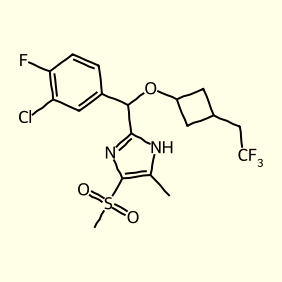 Cc1[nH]c(C(OC2CC(CC(F)(F)F)C2)c2ccc(F)c(Cl)c2)nc1S(C)(=O)=O